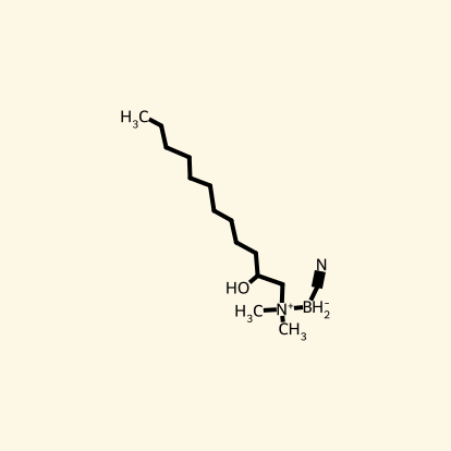 CCCCCCCCCCC(O)C[N+](C)(C)[BH2-]C#N